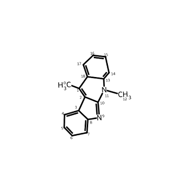 Cc1c2c3ccccc3nc-2n(C)c2ccccc12